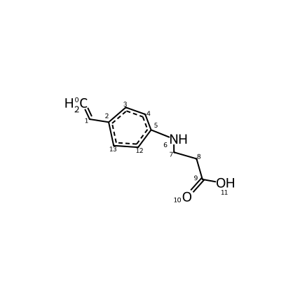 C=Cc1ccc(NCCC(=O)O)cc1